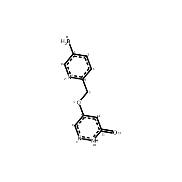 Bc1ccc(COc2cn[nH]c(=O)c2)nc1